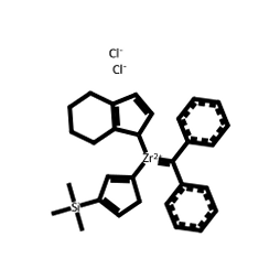 C[Si](C)(C)C1=CC[C]([Zr+2](=[C](c2ccccc2)c2ccccc2)[CH]2C=CC3=C2CCCC3)=C1.[Cl-].[Cl-]